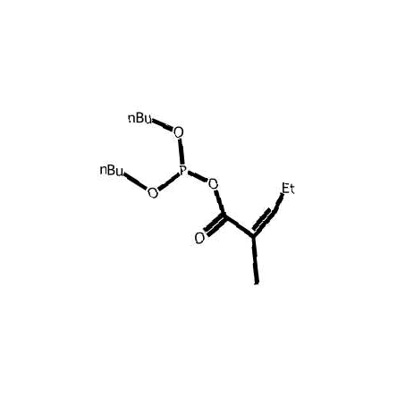 CCC=C(C)C(=O)OP(OCCCC)OCCCC